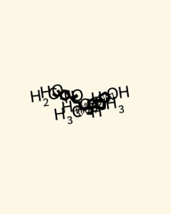 C=CC1(O)CCN(C(=O)CC[C@@H](C)[C@H]2CC[C@H]3[C@@H]4CC=C5C[C@@H](O)CC[C@]5(C)[C@H]4CC[C@]23C)CC1